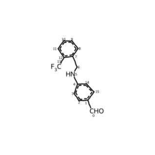 O=Cc1ccc(NCc2ccccc2C(F)(F)F)cc1